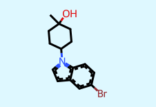 CC1(O)CCC(n2ccc3cc(Br)ccc32)CC1